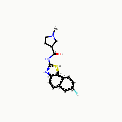 CC(=O)N1CCC(C(=O)Nc2nc3ccc4cc(F)ccc4c3s2)C1